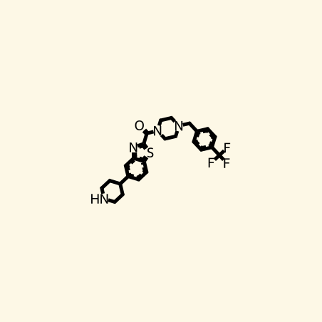 O=C(c1nc2cc(C3CCNCC3)ccc2s1)N1CCN(Cc2ccc(C(F)(F)F)cc2)CC1